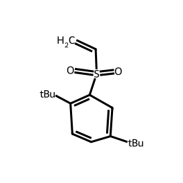 C=CS(=O)(=O)c1cc(C(C)(C)C)ccc1C(C)(C)C